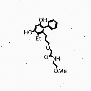 CCc1c(O)cc(O)c(-c2ccccc2)c1CCCOCC(=O)NCCOC